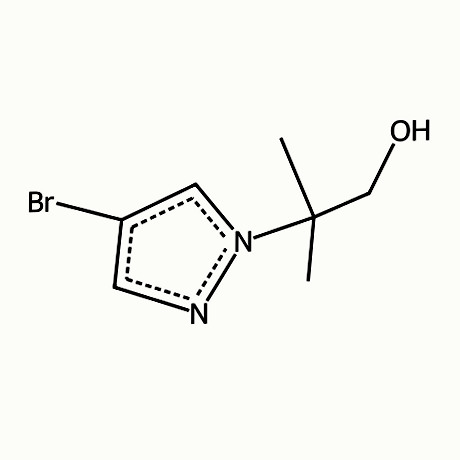 CC(C)(CO)n1cc(Br)cn1